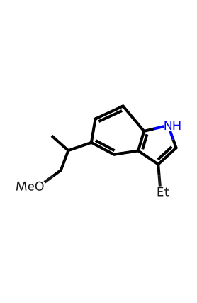 CCc1c[nH]c2ccc(C(C)COC)cc12